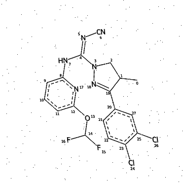 CC1CN(/C(=N\C#N)Nc2cccc(OC(F)F)n2)N=C1c1ccc(Cl)c(Cl)c1